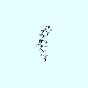 Cc1nc(-c2ccc(C(F)(F)F)cc2)ccc1CCCCCl